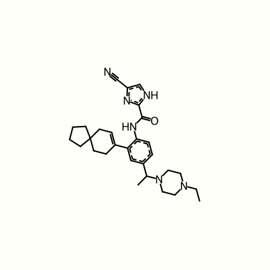 CCN1CCN(C(C)c2ccc(NC(=O)c3nc(C#N)c[nH]3)c(C3=CCC4(CCCC4)CC3)c2)CC1